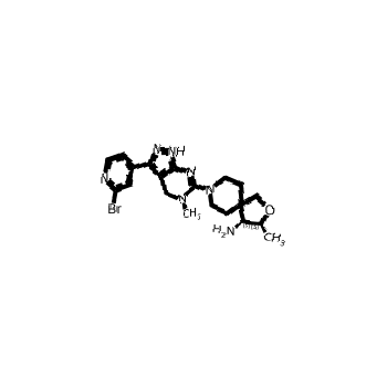 C[C@@H]1OCC2(CCN(C3=Nc4[nH]nc(-c5ccnc(Br)c5)c4CN3C)CC2)[C@@H]1N